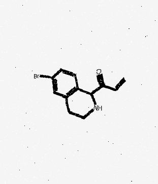 C=CC(=O)C1NCCc2cc(Br)ccc21